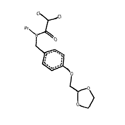 CC(C)N(Cc1ccc(OCC2OCCO2)cc1)C(=O)C(Cl)Cl